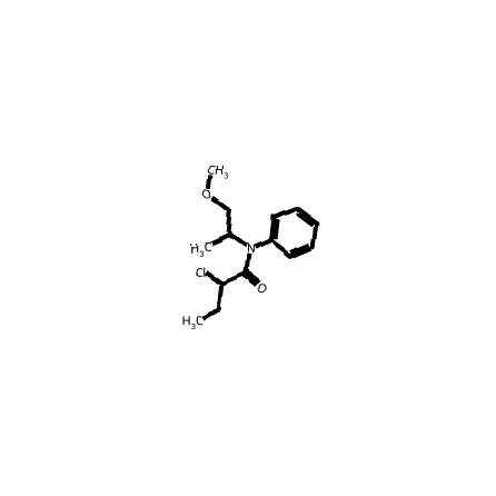 CCC(Cl)C(=O)N(c1ccccc1)C(C)COC